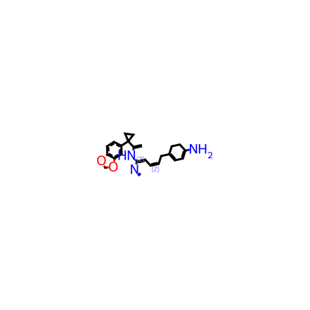 C=N/C(=C\C=C/CC1=CC=C(N)CC1)NC(=C)C1(c2ccc3c(c2)OCO3)CC1